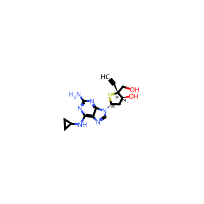 C#C[C@]1(CO)S[C@@H](n2cnc3c(NC4CC4)nc(N)nc32)C[C@@H]1O